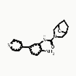 Nc1ccc(-c2ccncc2)cc1NC(=O)N1CC2CCC(C1)O2